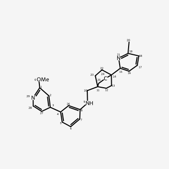 COc1cc(-c2cccc(NCC34CCC(c5cccc(C)n5)(CC3)CC4)c2)ccn1